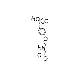 COC(CNCCOc1ccc(CC(C)(O)C=O)cc1)OC